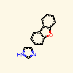 c1c[nH]cn1.c1ccc2c(c1)oc1ccccc12